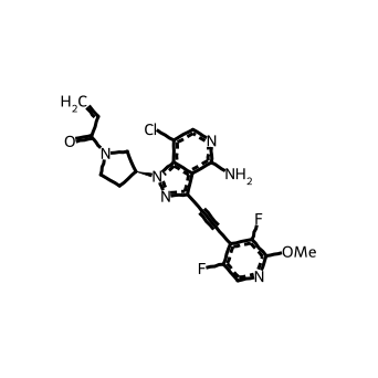 C=CC(=O)N1CC[C@H](n2nc(C#Cc3c(F)cnc(OC)c3F)c3c(N)ncc(Cl)c32)C1